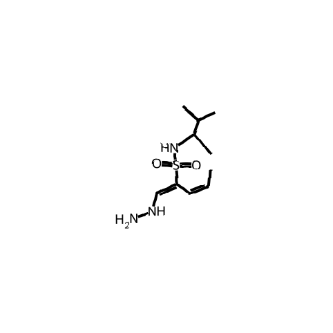 C/C=C\C(=C/NN)S(=O)(=O)NC(C)C(C)C